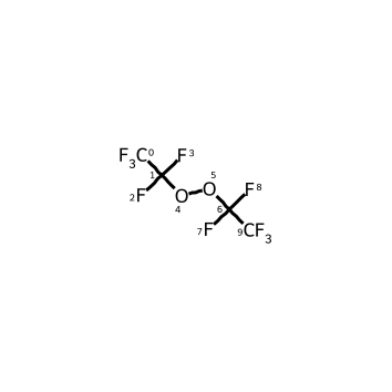 FC(F)(F)C(F)(F)OOC(F)(F)C(F)(F)F